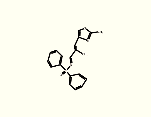 C/C(C=NP(=O)(c1ccccc1)c1ccccc1)=C\c1csc(C)n1